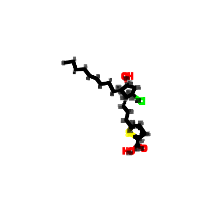 CCCCCCCCC[C@@H]1[C@@H](CCCc2ccc(C(=O)O)s2)[C@H](Cl)C[C@H]1O